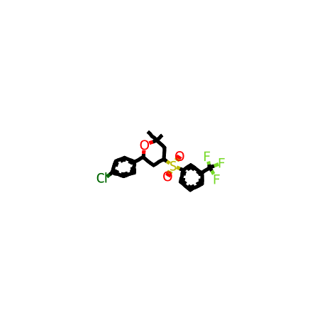 CC1(C)CC(S(=O)(=O)c2cccc(C(F)(F)F)c2)CC(c2ccc(Cl)cc2)O1